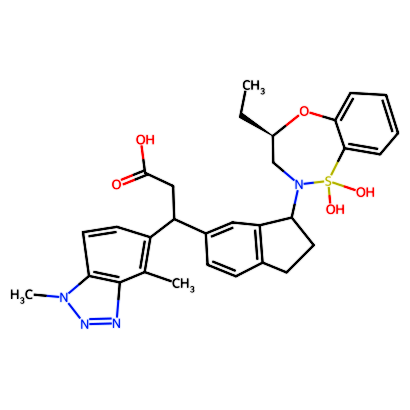 CC[C@@H]1CN(C2CCc3ccc(C(CC(=O)O)c4ccc5c(nnn5C)c4C)cc32)S(O)(O)c2ccccc2O1